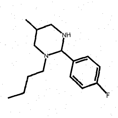 CCCCN1CC(C)CNC1c1ccc(F)cc1